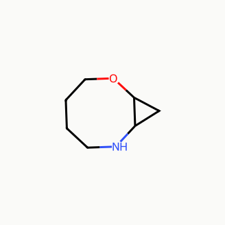 C1CCOC2CC2NC1